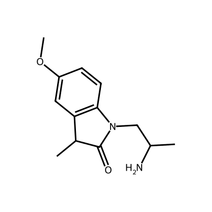 COc1ccc2c(c1)C(C)C(=O)N2CC(C)N